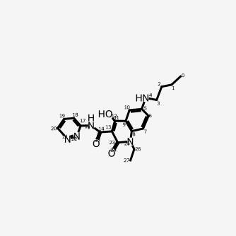 CCCCNc1ccc2c(c1)c(O)c(C(=O)Nc1cccnn1)c(=O)n2CC